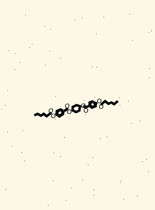 CCCCCC(=O)Oc1ccc(C(=O)OC2CCC(OC(=O)c3ccc(OC(=O)CCCCC)cc3)CC2)cc1